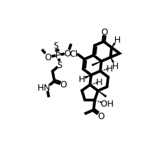 CC(=O)[C@@]1(O)CC[C@H]2[C@@H]3C=C(Cl)C4=CC(=O)[C@@H]5C[C@@H]5[C@]4(C)[C@H]3CC[C@@]21C.CNC(=O)CSP(=S)(OC)OC